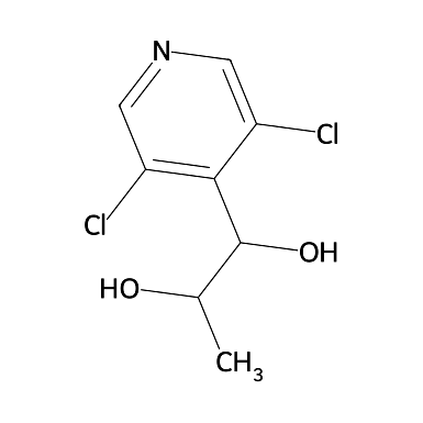 CC(O)C(O)c1c(Cl)cncc1Cl